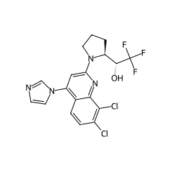 O[C@H]([C@@H]1CCCN1c1cc(-n2ccnc2)c2ccc(Cl)c(Cl)c2n1)C(F)(F)F